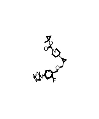 CC1(OC(=O)N2CCC([C@H]3C[C@H]3COCc3ccc(-n4cnnn4)cc3F)CC2)CC1